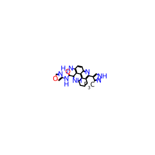 N=C(C(=O)Nc1cocn1)c1c(N)ccc2nc(-c3c[nH]nc3C(F)(F)F)c3c(c12)CCCC3